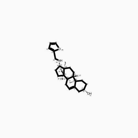 C[C@]12CC[C@H]3[C@@H](CC=C4C[C@@H](O)CC[C@@]43C)[C@@H]1CC[C@@H]2NCc1ccco1